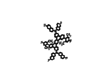 Cc1cc(F)cc(C)c1-c1ccc2c(c1)c1cc3c4ccc(N(c5ccc6cc(F)ccc6c5)c5ccc6cc(F)ccc6c5)cc4c4ccc(-c5c(C)cc(F)cc5C)cc4c3cc1c1ccc(N(c3ccc4cc(F)ccc4c3)c3ccc4cc(F)ccc4c3)cc21